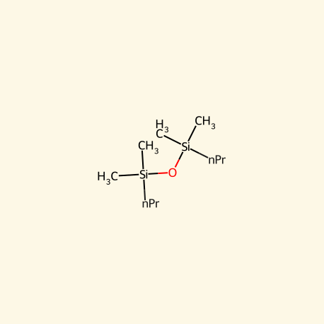 CCC[Si](C)(C)O[Si](C)(C)CCC